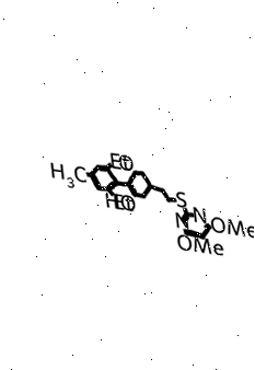 CCc1cc(C)cc(CC)c1C1=C(O)CC(CCSc2nc(OC)cc(OC)n2)CC1=O